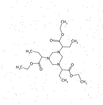 CCOC(=O)C(CC)N1CN(C(CC)C(=O)OCC)CN(C(CC)C(=O)OCC)C1